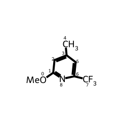 COc1cc(C)cc(C(F)(F)F)n1